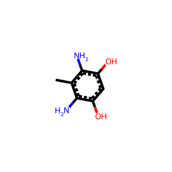 Cc1c(N)c(O)cc(O)c1N